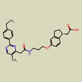 CCc1ccc(-c2ncc(C)c(CC(=O)NCCCOc3ccc4c(c3)CC[C@H]4CC(=O)O)n2)cc1